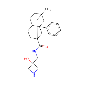 CC12CCC3CCC(C(=O)NCC4(O)CNC4)(C1)CC3(c1ccccc1)C2